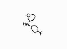 F[C@H]1CC[C@@H](N[C@H]2CCCOC2)CC1